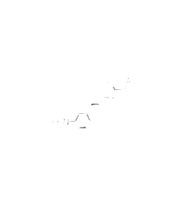 CC(=O)CC(=O)OCC=Cc1cccc([N+](=O)[O-])c1